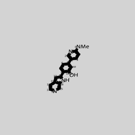 CNc1ccc(-c2ccc(-c3cc4ccncc4[nH]3)c(O)c2)cn1